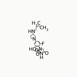 CC(C)CCN[C@@H]1CCN(c2cc(O)c(N3CC(=O)NS3(=O)=O)c(F)c2)C1